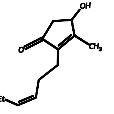 CC/C=C\CCC1=C(C)C(O)CC1=O